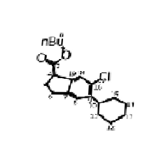 CCCCOC(=O)C1CCc2cc(C3CCCCC3)c(Cl)cc21